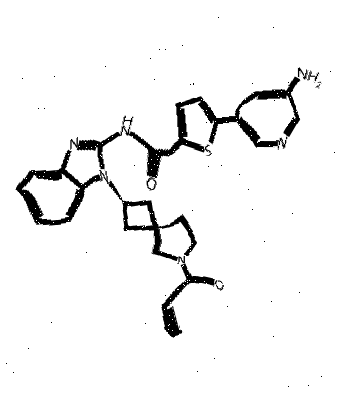 C=CC(=O)N1CC[C@]2(C1)C[C@H](n1c(NC(=O)c3ccc(-c4cncc(N)c4)s3)nc3ccccc31)C2